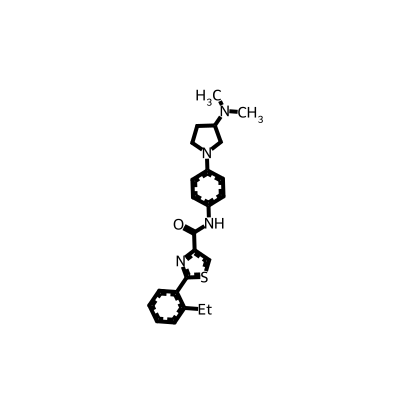 CCc1ccccc1-c1nc(C(=O)Nc2ccc(N3CCC(N(C)C)C3)cc2)cs1